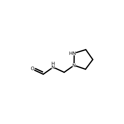 O=CNCN1CCCN1